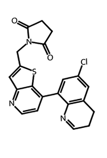 O=C1CCC(=O)N1Cc1cc2nccc(-c3cc(Cl)cc4c3N=CCC4)c2s1